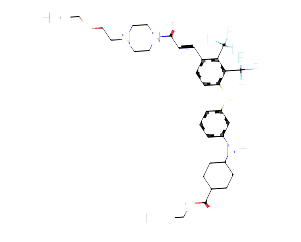 CCOCCN1CCN(C(=O)/C=C/c2ccc(Sc3cccc(NC4CCC(C(=O)OCC)CC4)c3)c(C(F)(F)F)c2C(F)(F)F)CC1